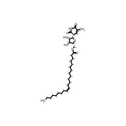 CCCCCCCC/C=C\CCCCCCCCCCCC(=O)OC[C@H]1O[C@@H](n2cc(C)c(=O)[nH]c2=O)[C@@H](O)[C@@H]1O